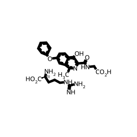 Cc1nc(C(=O)NCC(=O)O)c(O)c2ccc(Oc3ccccc3)cc12.N=C(N)NCCC[C@H](N)C(=O)O